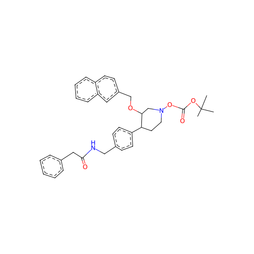 CC(C)(C)OC(=O)ON1CCC(c2ccc(CNC(=O)Cc3ccccc3)cc2)C(OCc2ccc3ccccc3c2)C1